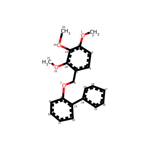 COc1ccc(COc2[c]cccc2-c2ccccc2)c(OC)c1OC